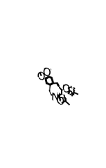 COc1cc2c(cc1OC)CCNC(=O)[C@@H](CC(C)C)C(O[Si](C)(C)C(C)(C)C)/C=C/2